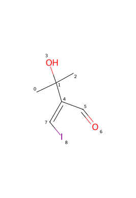 CC(C)(O)C(C=O)=CI